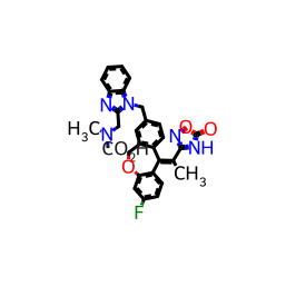 C/C(=C1/c2ccc(Cn3c(CN(C)C(=O)O)nc4ccccc43)cc2COc2cc(F)ccc21)c1noc(=O)[nH]1